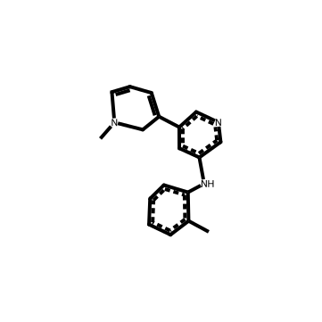 Cc1ccccc1Nc1cncc(C2=CC=CN(C)C2)c1